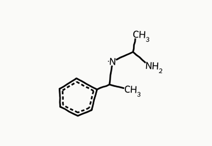 CC(N)[N]C(C)c1ccccc1